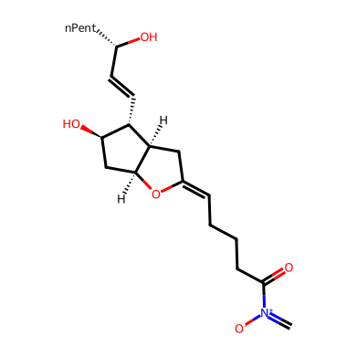 C=[N+]([O-])C(=O)CCC/C=C1/C[C@@H]2[C@@H](/C=C/[C@@H](O)CCCCC)[C@H](O)C[C@@H]2O1